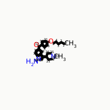 CCCCCCOc1ccc(C(=O)c2ccc3c(c2)c(C2CCN(C)CC2)cn3N)cc1